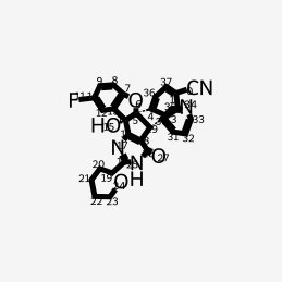 N#Cc1ccc([C@@]23Oc4ccc(F)cc4[C@]2(O)c2nc(C4CCCCO4)[nH]c(=O)c2[C@H]3c2cccnc2)cc1